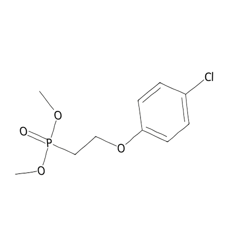 COP(=O)(CCOc1ccc(Cl)cc1)OC